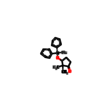 CC1(C)C(=O)CCC1O[Si](c1ccccc1)(c1ccccc1)C(C)(C)C